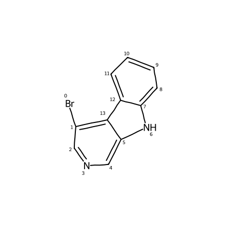 Brc1cncc2[nH]c3ccccc3c12